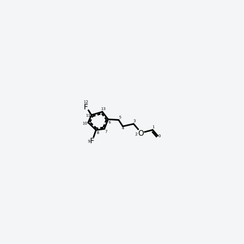 C=COCCCc1cc(F)cc(F)c1